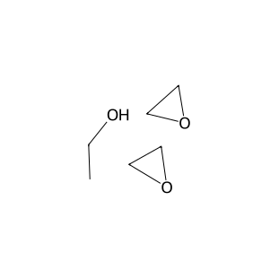 C1CO1.C1CO1.CCO